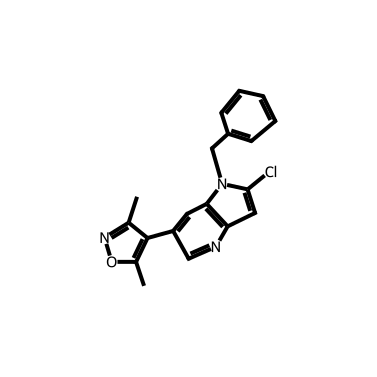 Cc1noc(C)c1-c1cnc2cc(Cl)n(Cc3ccccc3)c2c1